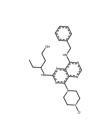 CCC(CCO)Nc1nc(N2CC[S+]([O-])CC2)c2ncnc(NCc3ccccc3)c2n1